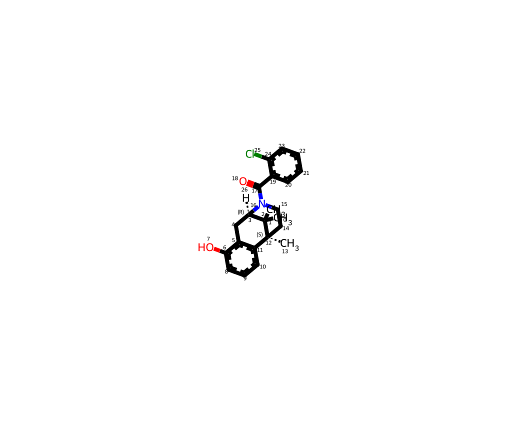 CC1(C)[C@H]2Cc3c(O)cccc3[C@]1(C)CCN2C(=O)c1ccccc1Cl